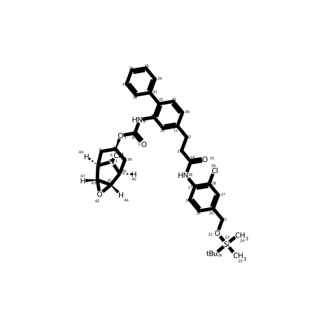 CN1[C@@H]2C[C@@H](OC(=O)Nc3cc(CCC(=O)Nc4ccc(CO[Si](C)(C)C(C)(C)C)cc4Cl)ccc3-c3ccccc3)C[C@H]1[C@@H]1O[C@@H]12